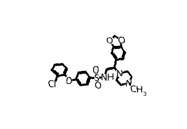 CN1CCN(C(CNS(=O)(=O)c2ccc(Oc3ccccc3Cl)cc2)c2ccc3c(c2)OCO3)CC1